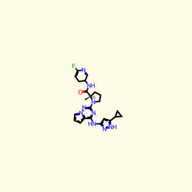 C[C@@]1(C(=O)NC2C=NC(F)=CC2)CCCN1c1nc(Nc2cc(C3CC3)[nH]n2)c2cccn2n1